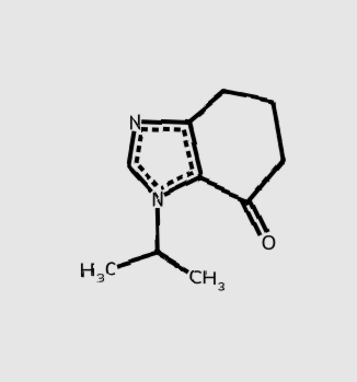 CC(C)n1cnc2c1C(=O)CCC2